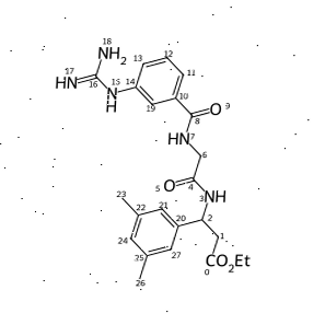 CCOC(=O)CC(NC(=O)CNC(=O)c1cccc(NC(=N)N)c1)c1cc(C)cc(C)c1